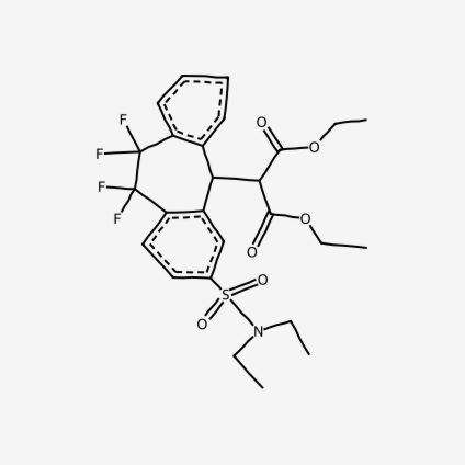 CCOC(=O)C(C(=O)OCC)C1c2ccccc2C(F)(F)C(F)(F)c2ccc(S(=O)(=O)N(CC)CC)cc21